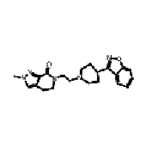 Cn1cc2c(n1)C(=O)N(CCN1CCC(c3noc4ccccc34)CC1)CC2